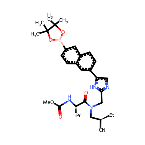 CC[C@@H](C#N)CN(Cc1ncc(-c2ccc3cc(B4OC(C)(C)C(C)(C)O4)ccc3c2)[nH]1)C(=O)[C@H](NC(=O)OC)C(C)C